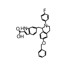 O=C(O)c1cc2ccc(CC3c4ccc(OCc5ccccc5)cc4CCN3c3ccc(F)cc3)cc2[nH]1